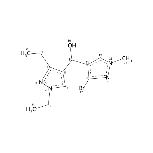 CCc1nn(CC)cc1C(O)c1cn(C)nc1Br